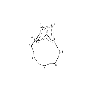 c1c2nnn1CCCCC2